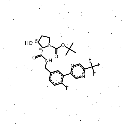 CC(C)(C)OC(=O)N1CC[C@@H](O)[C@H]1C(=O)NCc1ccc(F)c(-c2cnc(C(F)(F)F)cn2)c1